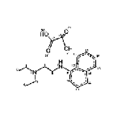 CCN(CC)CCNc1cccc2ccccc12.O=C(O)C(=O)O